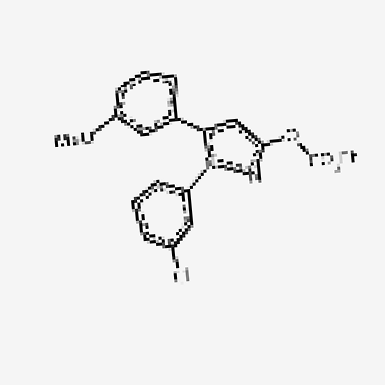 CCOC(=O)Oc1cc(-c2cccc(OC)c2)n(-c2cccc(Cl)c2)n1